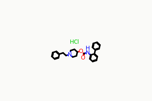 Cl.O=C(Nc1ccccc1-c1ccccc1)OC1CCN(CCc2ccccc2)CC1